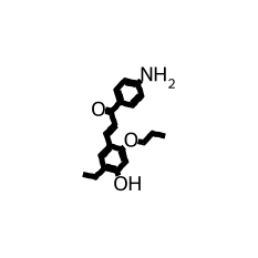 CCCOc1cc(O)c(CC)cc1/C=C/C(=O)c1ccc(N)cc1